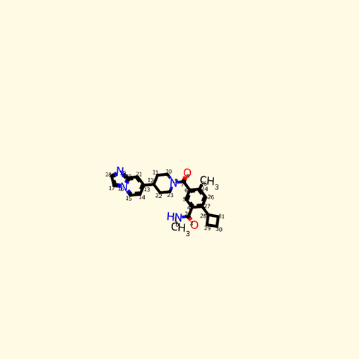 CNC(=O)c1cc(C(=O)N2CCC(c3ccn4ccnc4c3)CC2)c(C)cc1C1CCC1